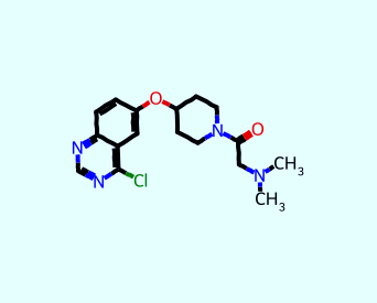 CN(C)CC(=O)N1CCC(Oc2ccc3ncnc(Cl)c3c2)CC1